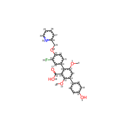 COc1cc(-c2ccc(O)cc2)c(OC)c(C(=O)O)c1-c1ccc(OCc2ccccn2)c(F)c1